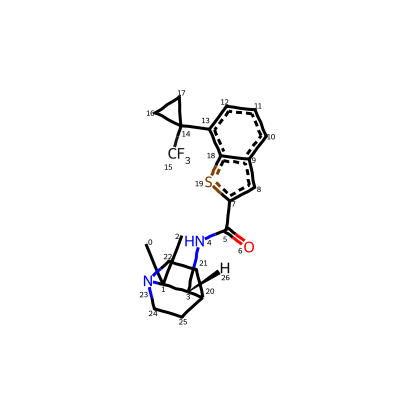 CC1(C)[C@H](NC(=O)c2cc3cccc(C4(C(F)(F)F)CC4)c3s2)C2CCN1CC2